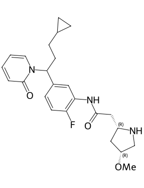 CO[C@H]1CN[C@@H](CC(=O)Nc2cc(C(CCC3CC3)n3ccccc3=O)ccc2F)C1